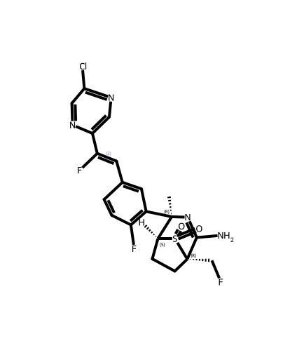 C[C@]1(c2cc(/C=C(\F)c3cnc(Cl)cn3)ccc2F)N=C(N)[C@@]2(CF)CC[C@@H]1S2(=O)=O